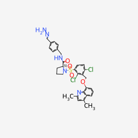 Cc1cc(C)c2cccc(OCc3c(Cl)ccc(S(=O)(=O)N4CCC[C@H]4C(=O)NCc4ccc(C=NN)cc4)c3Cl)c2n1